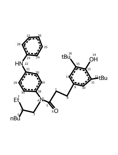 CCCCC(CC)CN(C(=O)CCc1cc(C(C)(C)C)c(O)c(C(C)(C)C)c1)c1ccc(Nc2ccccc2)cc1